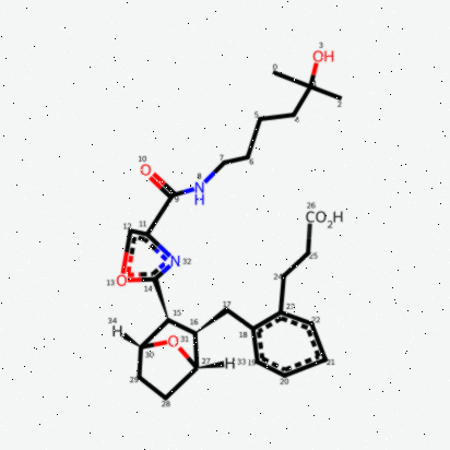 CC(C)(O)CCCCNC(=O)c1coc([C@H]2[C@@H](Cc3ccccc3CCC(=O)O)[C@@H]3CC[C@H]2O3)n1